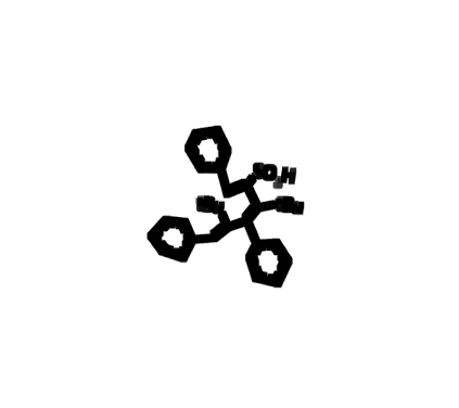 CC(C)(C)C(=Cc1ccccc1)C(=C(C(=Cc1ccccc1)S(=O)(=O)O)C(C)(C)C)c1ccccc1